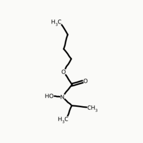 CCCCOC(=O)N(O)C(C)C